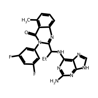 CCC(Nc1nc(N)nc2[nH]cnc12)c1nc2cccc(C)c2c(=O)n1-c1cc(F)cc(F)c1